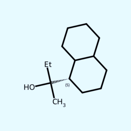 CCC(C)(O)[C@H]1CCCC2CCCCC21